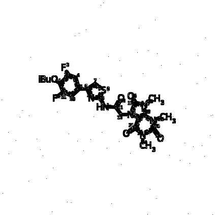 CC(C)COc1c(F)cc(-c2csc(NC(=O)Cn3c(=O)n(C)c4c3c(=O)n(C)c(=O)n4C)n2)cc1F